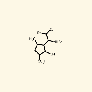 CCC(CC)C(NC(C)=O)C1C(C)CC(C(=O)O)C1O